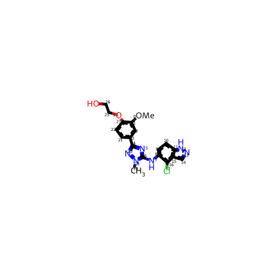 COc1cc(-c2nc(Nc3ccc4[nH]ncc4c3Cl)n(C)n2)ccc1OCCO